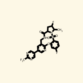 CC1C(F)CC(C(=O)NCc2cc(-c3cnc(C(F)(F)F)nc3)cnc2C(F)(F)F)N1S(=O)(=O)c1ccc(F)cc1